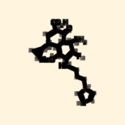 COc1c(NCCCn2ccnc2)c(F)c(N)c2c(=O)c(C(=O)O)cn(C3CC3)c12